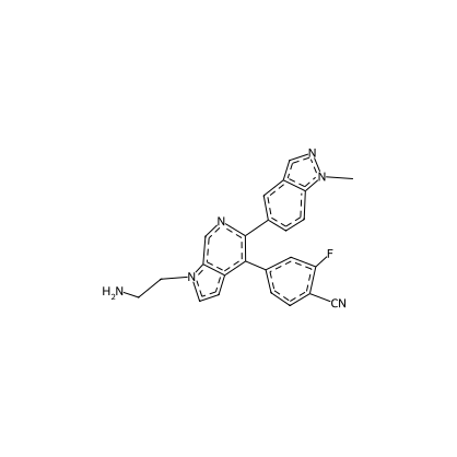 Cn1ncc2cc(-c3ncc4c(ccn4CCN)c3-c3ccc(C#N)c(F)c3)ccc21